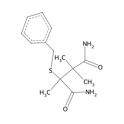 CC(C)(C(N)=O)C(C)(SCc1ccccc1)C(N)=O